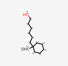 O=CC1(CCCCCCO)CCCCC1